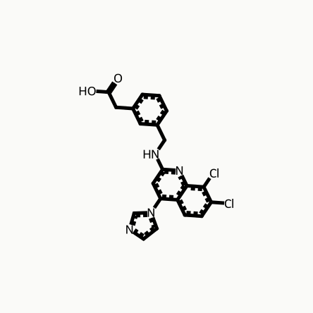 O=C(O)Cc1cccc(CNc2cc(-n3ccnc3)c3ccc(Cl)c(Cl)c3n2)c1